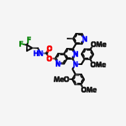 COc1ccc(CN(Cc2ccc(OC)cc2OC)c2nc(-c3cnccc3C)cc3cc(OC(=O)NCC4CC4(F)F)ncc23)c(OC)c1